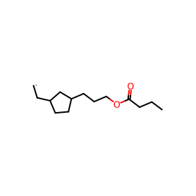 [CH2]CC1CCC(CCCOC(=O)CCC)C1